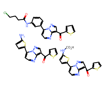 Nc1ccc(-c2ccnc3c(C(=O)c4cccs4)cnn23)s1.O=C(CCCCl)Nc1cccc(-c2ccnc3c(C(=O)c4cccs4)cnn23)c1.O=C(O)Nc1ccc(-c2ccnc3c(C(=O)c4cccs4)cnn23)s1